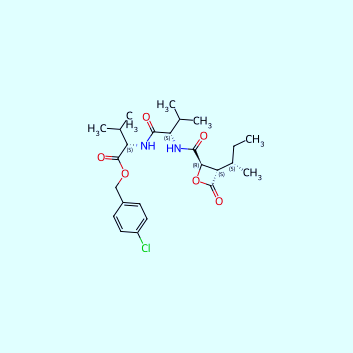 CC[C@H](C)[C@@H]1C(=O)O[C@H]1C(=O)N[C@H](C(=O)N[C@H](C(=O)OCc1ccc(Cl)cc1)C(C)C)C(C)C